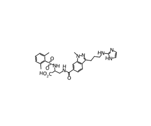 Cc1cccc(C)c1S(=O)(=O)NC(CNC(=O)c1ccc2c(CCCNc3ncc[nH]3)nn(C)c2c1)C(=O)O